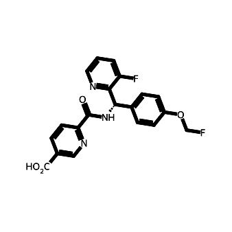 O=C(O)c1ccc(C(=O)N[C@@H](c2ccc(OCF)cc2)c2ncccc2F)nc1